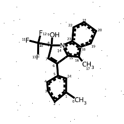 Cc1cccc(C2=CC(O)(C(F)(F)F)n3c2c(C)c2ccccc23)c1